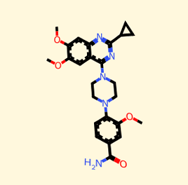 COc1cc2nc(C3CC3)nc(N3CCN(c4ccc(C(N)=O)cc4OC)CC3)c2cc1OC